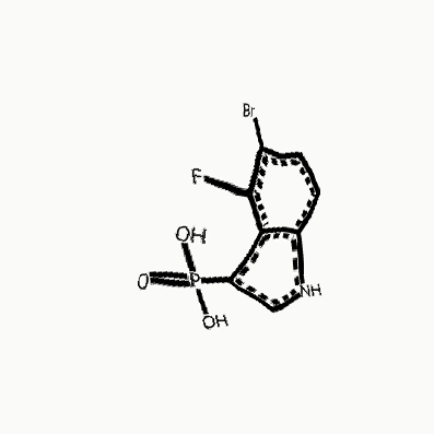 O=P(O)(O)c1c[nH]c2ccc(Br)c(F)c12